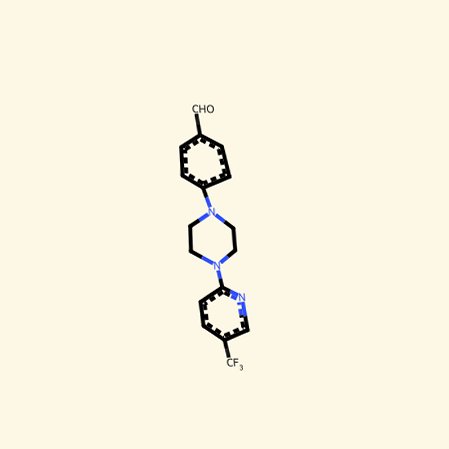 O=Cc1ccc(N2CCN(c3ccc(C(F)(F)F)cn3)CC2)cc1